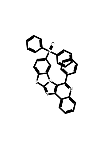 O=P(c1ccccc1)(c1ccccc1)c1ccc2sc3nc4c5ccccc5nc(-c5ccccc5)c4n3c2c1